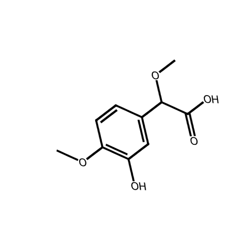 COc1ccc(C(OC)C(=O)O)cc1O